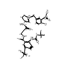 CC(C)(C)OC(=O)Nc1ccc(C(F)(F)F)cc1C(=O)NCC(=O)N[C@@H]1CCN(Cc2ccc(Cl)c([N+](=O)[O-])c2)C1